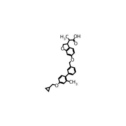 Cc1cc(OCC2CC2)ccc1-c1cccc(COc2ccc3c(c2)OCC3C(C)C(=O)O)c1